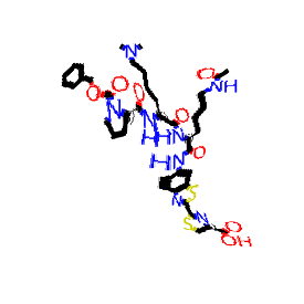 CC(=O)NCCCC[C@H](NC(=O)[C@H](CCCCN(C)C)NC(=O)[C@@H]1CCCN1C(=O)OCc1ccccc1)C(=O)Nc1ccc2nc(C3=N[C@@H](C(=O)O)CS3)sc2c1